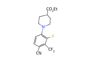 CCOC(=O)C1CCN(c2ccc(C#N)c(C(F)(F)F)c2F)CC1